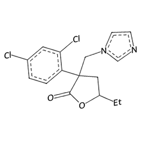 CCC1CC(Cn2ccnc2)(c2ccc(Cl)cc2Cl)C(=O)O1